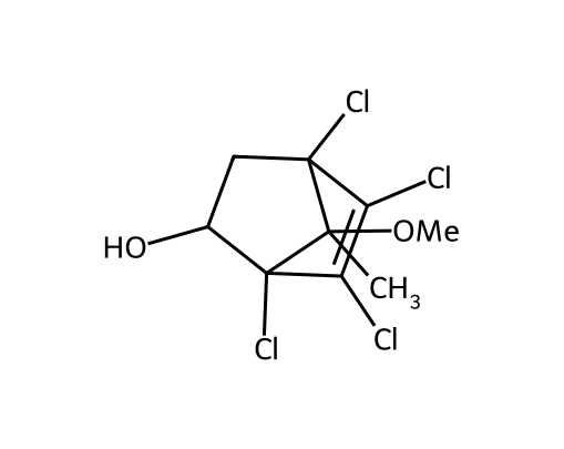 COC1(C)C2(Cl)CC(O)C1(Cl)C(Cl)=C2Cl